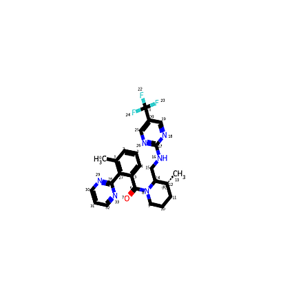 Cc1cccc(C(=O)N2CCC[C@@H](C)C2CNc2ncc(C(F)(F)F)cn2)c1-c1ncccn1